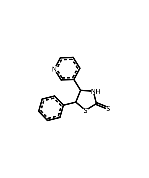 S=C1NC(c2cccnc2)C(c2ccccc2)S1